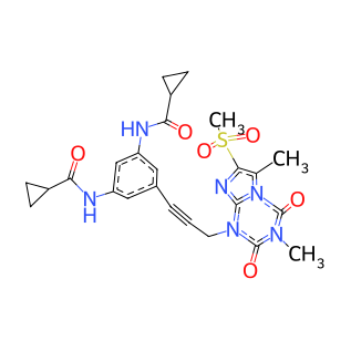 Cc1c(S(C)(=O)=O)nc2n(CC#Cc3cc(NC(=O)C4CC4)cc(NC(=O)C4CC4)c3)c(=O)n(C)c(=O)n12